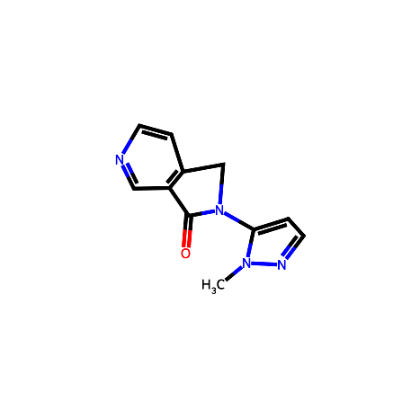 Cn1nccc1N1Cc2ccncc2C1=O